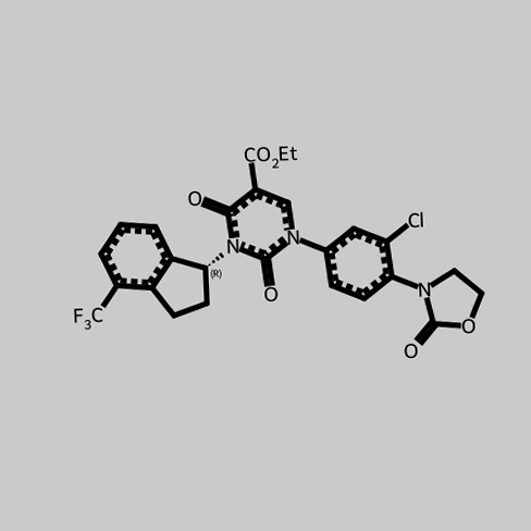 CCOC(=O)c1cn(-c2ccc(N3CCOC3=O)c(Cl)c2)c(=O)n([C@@H]2CCc3c2cccc3C(F)(F)F)c1=O